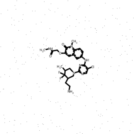 CNC(=O)COc1cc2cc(Nc3nc(N4CC(C)C(F)(F)C(CCN)C4)ncc3Cl)ccc2n(C)c1=O